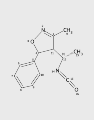 CC1=NOC(c2ccccc2)C1[C@H](C)N=C=O